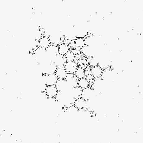 N#Cc1cc(-n2c3cc(-c4cc(C(F)(F)F)cc(C(F)(F)F)c4)ccc3c3ccc(-c4cc(C(F)(F)F)cc(C(F)(F)F)c4)cc32)c(-n2c3cc(-c4cc(C(F)(F)F)cc(C(F)(F)F)c4)ccc3c3ccc(-c4cc(C(F)(F)F)cc(C(F)(F)F)c4)cc32)cc1-c1cccnc1